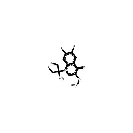 CC(CF)(CF)n1cc(OC(=O)O)c(=O)c2cc(F)c(F)cc21